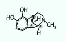 CN1CC[C@]23CSC=C[C@H]2[C@H]1Cc1ccc(O)c(O)c13